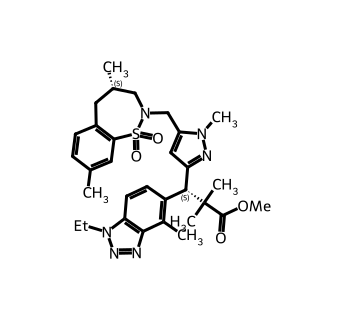 CCn1nnc2c(C)c([C@H](c3cc(CN4C[C@@H](C)Cc5ccc(C)cc5S4(=O)=O)n(C)n3)C(C)(C)C(=O)OC)ccc21